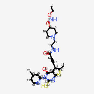 CCONOC1CCN(CCNC(=O)C#Cc2c(C)sc3nc(S)n(-c4cc(C)ccn4)c(=O)c23)CC1